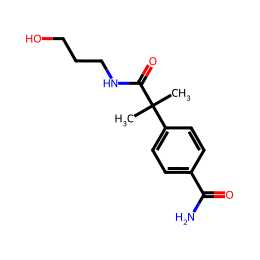 CC(C)(C(=O)NCCCO)c1ccc(C(N)=O)cc1